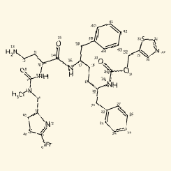 CC(C)C1=NC(CN(C)C(=O)NC(CCN)C(=O)NC(CCC(Cc2ccccc2)NC(=O)OCc2cncs2)Cc2ccccc2)CS1